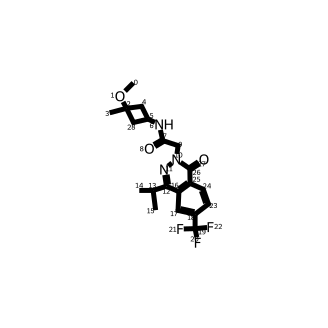 COC1(C)CC(NC(=O)Cn2nc(C(C)C)c3cc(C(F)(F)F)ccc3c2=O)C1